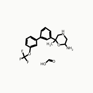 CC1(c2cccc(-c3cccc(OC(F)(F)F)c3)c2)CNCC(N)O1.O=CO